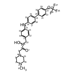 CN1CCN(CC(=O)N(O)Cc2ccc(Nc3ccc(-c4ccc(OC(F)(F)F)cc4)cc3)cc2)CC1